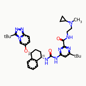 CN(CCNC(=O)c1nc(NC(=O)N[C@H]2CC[C@@H](Oc3ccc4nnc(C(C)(C)C)n4c3)c3ccccc32)cc(C(C)(C)C)n1)C1CC1